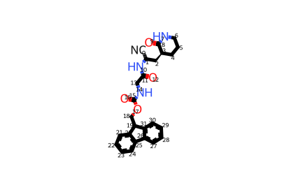 N#CC(C[C@@H]1CCCNC1=O)NC(=O)CNC(=O)OCC1c2ccccc2-c2ccccc21